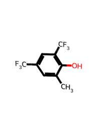 Cc1cc(C(F)(F)F)cc(C(F)(F)F)c1O